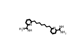 N=C(N)c1cccc(CCCCCCCc2cccc(C(=N)N)n2)n1